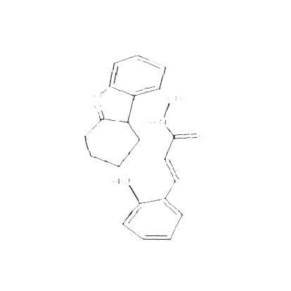 CN(C(=O)/C=C/c1ccccc1O)[C@]1(c2ccccc2Cl)CCCCC1=O